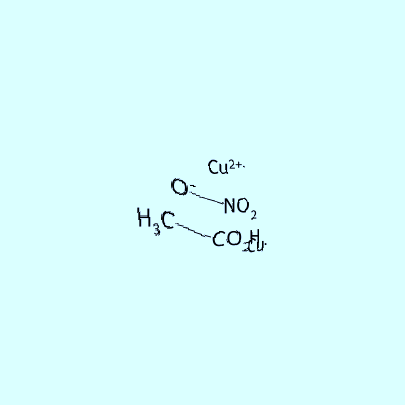 CC(=O)O.O=[N+]([O-])[O-].[Cu+2].[Cu]